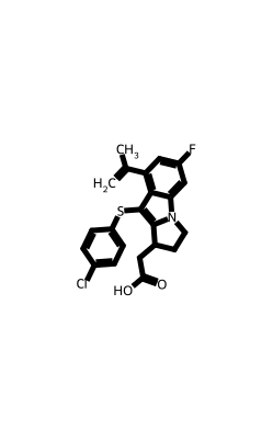 C=C(C)c1cc(F)cc2c1c(Sc1ccc(Cl)cc1)c1n2CCC1CC(=O)O